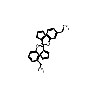 FC(F)(F)Cc1cccc([O][Zr]([O]c2cccc(CC(F)(F)F)c2)([C]2=CC=CC2)[C]2=CC=CC2)c1